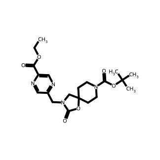 CCOC(=O)c1cnc(CN2CC3(CCN(C(=O)OC(C)(C)C)CC3)OC2=O)cn1